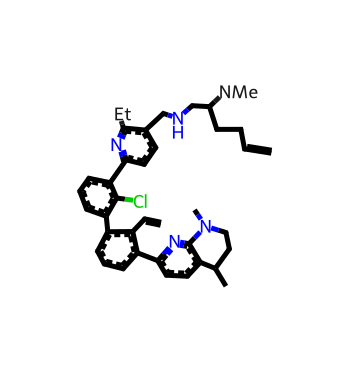 C=CCCC(CNCc1ccc(-c2cccc(-c3cccc(-c4ccc5c(n4)N(C)CCC5C)c3C=C)c2Cl)nc1CC)NC